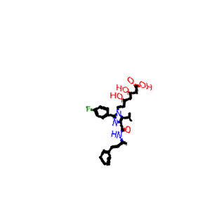 CC(CCc1ccccc1)NC(=O)c1nc(-c2ccc(F)cc2)n(CC[C@@H](O)C[C@@H](O)CC(=O)O)c1C(C)C